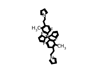 Cc1c(CCn2cccc2)cc(F)[c]([Ti]([c]2c(F)cc(CCn3cccc3)c(C)c2F)([CH]2C=CC=C2)[CH]2C=CC=C2)c1F